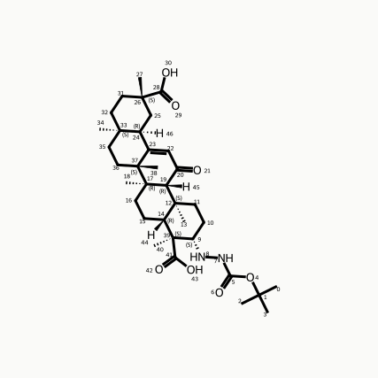 CC(C)(C)OC(=O)NN[C@H]1CC[C@@]2(C)[C@@H](CC[C@]3(C)[C@@H]2C(=O)C=C2[C@@H]4C[C@@](C)(C(=O)O)CC[C@]4(C)CC[C@]23C)[C@]1(C)C(=O)O